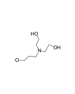 [O]CCCN(CCO)CCO